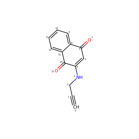 C#CCNC1=CC(=O)c2ccccc2C1=O